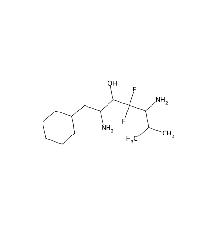 CC(C)C(N)C(F)(F)C(O)C(N)CC1CCCCC1